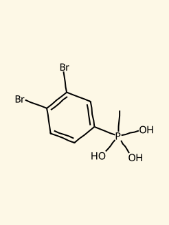 CP(O)(O)(O)c1ccc(Br)c(Br)c1